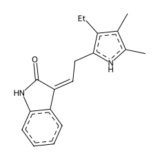 CCc1c(CC=C2C(=O)Nc3ccccc32)[nH]c(C)c1C